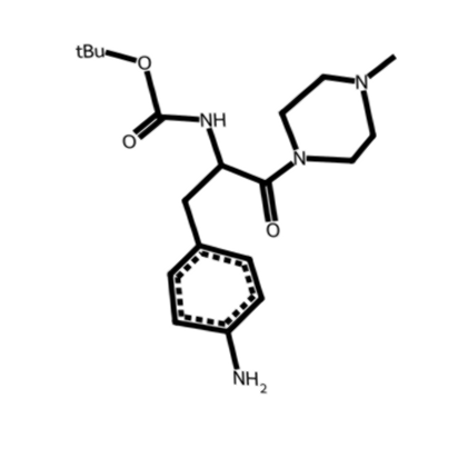 CN1CCN(C(=O)C(Cc2ccc(N)cc2)NC(=O)OC(C)(C)C)CC1